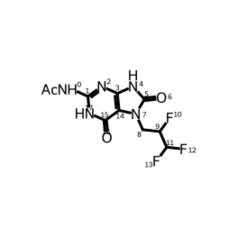 CC(=O)Nc1nc2[nH]c(=O)n(CC(F)C(F)F)c2c(=O)[nH]1